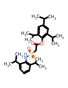 CC(C)c1cc(C(C)C)c(OC(=O)CS(=O)(=O)Nc2c(C(C)C)cccc2C(C)C)c(C(C)C)c1